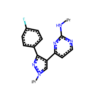 CC(C)Nc1nccc(-c2cn(C(C)C)nc2-c2ccc(F)cc2)n1